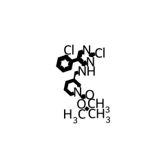 CC(C)(C)OC(=O)N1CCC[C@@H](CNc2nc(Cl)ncc2-c2ccccc2Cl)C1